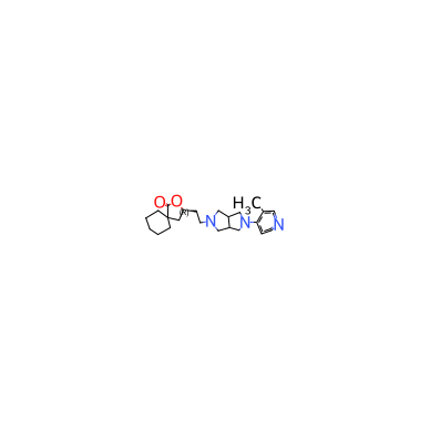 Cc1cnccc1N1CC2CN(CC[C@H]3CC4(CCCCC4)C(=O)O3)CC2C1